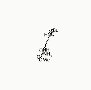 COC(=O)CC[C@H](N)C(=O)NCCCCCCCCNC(=O)OC(C)(C)C